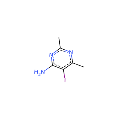 Cc1nc(C)c(I)c(N)n1